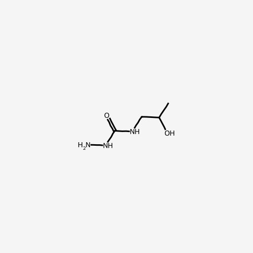 CC(O)CNC(=O)NN